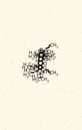 CCCCOc1noc2c1C(=O)[C@@]1(O[Si](C)(C)C(C)(C)C)C(O)=C3C(=O)c4c(c(F)c(CN(CC(C)C)C(=O)OC(C)(C)C)c(N(C)C(=O)OC(C)(C)C)c4OCCCC)C[C@H]3C[C@H]1[C@@H]2N(C)C